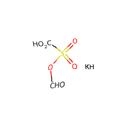 O=COS(=O)(=O)C(=O)O.[KH]